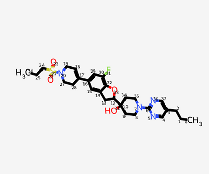 CCCc1cnc(N2CCC(O)(C3Cc4cc(C5=CCN(S(=O)(=O)CCC)CC5)cc(F)c4O3)CC2)nc1